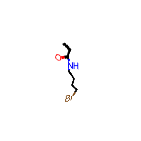 CCC(=O)NCCCCBr